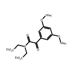 CCCCCCCCCCOc1cc(OCCCCCCCCCC)cc(C(=O)C(=O)N(CC(=O)OCC)CC(=O)OCC)c1